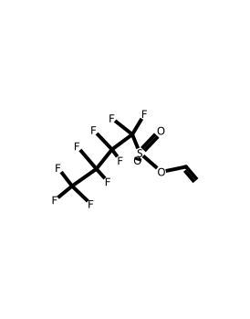 C=COS(=O)(=O)C(F)(F)C(F)(F)C(F)(F)C(F)(F)F